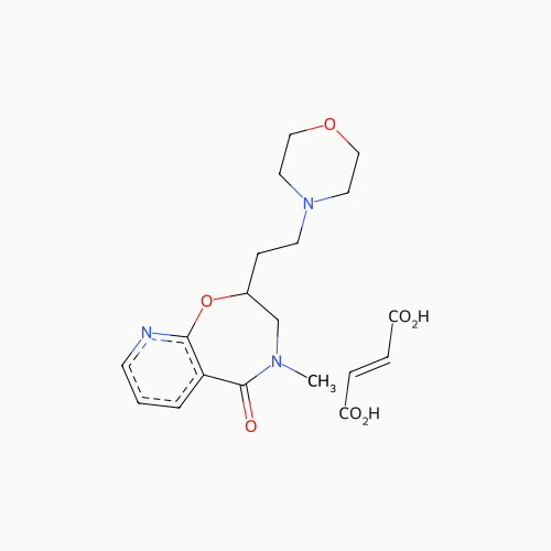 CN1CC(CCN2CCOCC2)Oc2ncccc2C1=O.O=C(O)C=CC(=O)O